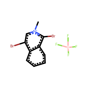 C[n+]1cc(Br)c2ccccc2c1Br.F[B-](F)(F)F